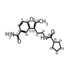 Cc1oc2ccc(C(N)=O)cc2c1CCNC(=O)C1CCCC1